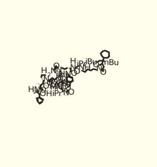 CCCCC(CCC(C)CC)(C1CCCCCCC1)C1CC(=O)N(CCCCC[C@H](C)N[C@H](C(=O)N[C@@H](CCCNC(N)=O)C(=O)Nc2ccc(COC(=O)N(C)[C@H](C(=O)N[C@H](C(=O)N(C)[C@@H]([C@@H](C)CC)[C@@H](CC(=O)N3CCC[C@H]3[C@H](OC)[C@@H](C)C(=O)N[C@H](C)[C@@H](O)c3ccccc3)OC)C(C)C)C(C)C)cc2)C(C)C)C1=O